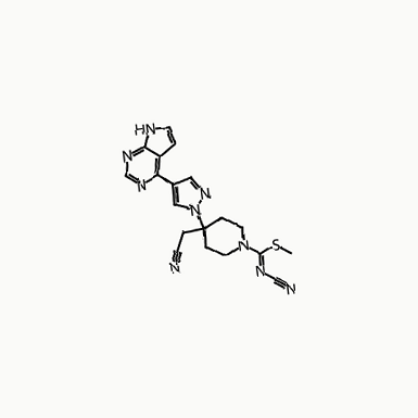 CSC(=NC#N)N1CCC(CC#N)(n2cc(-c3ncnc4[nH]ccc34)cn2)CC1